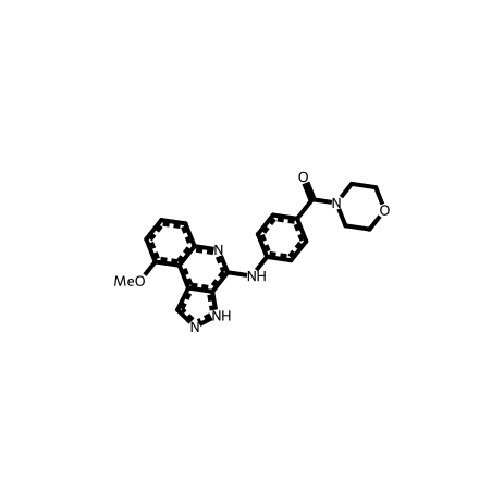 COc1cccc2nc(Nc3ccc(C(=O)N4CCOCC4)cc3)c3[nH]ncc3c12